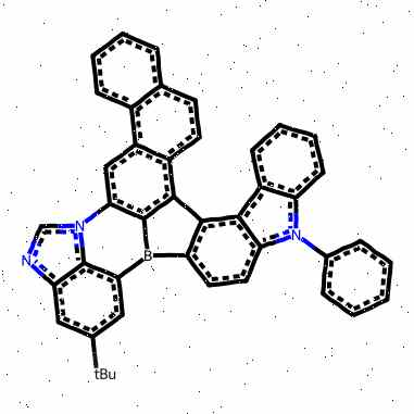 CC(C)(C)c1cc2c3c(c1)ncn3-c1cc3c(ccc4ccccc43)c3c1B2c1ccc2c(c1-3)c1ccccc1n2-c1ccccc1